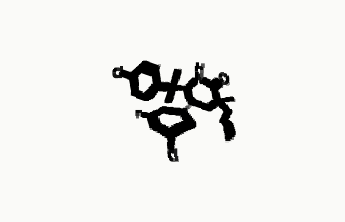 C=CC[C@]1(C)C[C@H](c2cc(F)cc(Cl)c2)[C@@H](C(C)(C)c2ccc(Cl)cc2)NC1=O